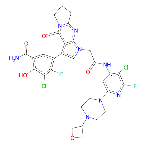 NC(=O)c1cc(-c2cn(CC(=O)Nc3cc(N4CCN(C5COC5)CC4)nc(F)c3Cl)c3nc4n(c(=O)c23)CCC4)c(F)c(Cl)c1O